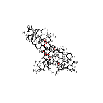 C=C/C=C\C=C\CC(NC(=O)C(CC(C)C)N(C)C(=O)[C@@H](CC(C)C)NC=O)C(=O)N(C)C(CC(C)C)C(=O)NC(C(=O)N(CCCC)CC(=O)N(C)C(CC(C)C)C(=O)NCC(COCCO)C(=O)N(C)C(C/C(C=C)=C/C=C)C(=O)N(C)C(CC(C)C)C(=O)N[C@@H](CC)C(=O)N1CCCCC1)C(C)O